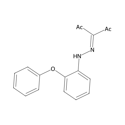 CC(=O)C(=NNc1ccccc1Oc1ccccc1)C(C)=O